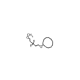 COCCC(F)(F)CCOC1CCCCCCCCCC1